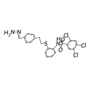 NN=Cc1ccc(CCSc2ccccc2NS(=O)(=O)c2cc(Cl)c(Cl)cc2Cl)cc1